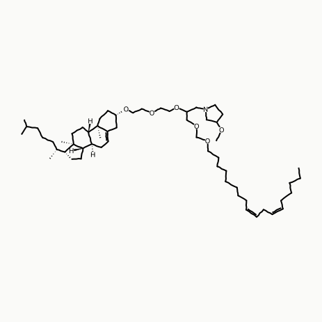 CCCCC/C=C\C/C=C\CCCCCCCCOCOCC(CN1CCC(OC)C1)OCCOCCO[C@H]1CC[C@@]2(C)C(=CC[C@H]3[C@@H]4CC[C@H]([C@H](C)CCCC(C)C)[C@@]4(C)CC[C@@H]32)C1